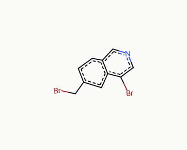 BrCc1ccc2cncc(Br)c2c1